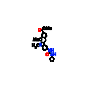 COC(=O)c1ccc(Cc2cn(C)c3ccc(NC(=O)NC4CCCC4)cc23)c(OC)c1